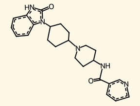 O=C(NC1CCN(C2CCC(n3c(=O)[nH]c4ccccc43)CC2)CC1)c1cccnc1